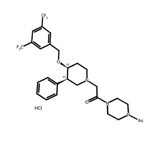 CC(=O)N1CCN(C(=O)CN2CC[C@H](OCc3cc(C(F)(F)F)cc(C(F)(F)F)c3)[C@H](c3ccccc3)C2)CC1.Cl